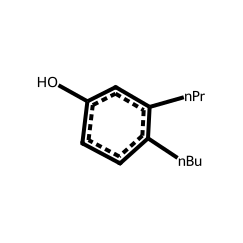 CCCCc1ccc(O)cc1CCC